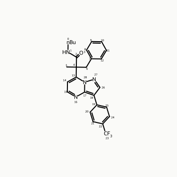 CCCCNC(=O)C(C)(Cc1ccccc1)c1ccnc2c(-c3ccc(C(F)(F)F)cc3)cnn12